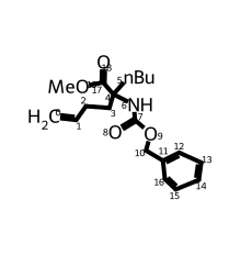 C=CCCC(CCCC)(NC(=O)OCc1ccccc1)C(=O)OC